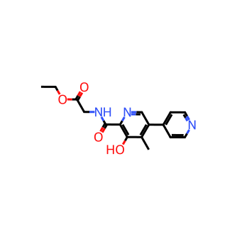 CCOC(=O)CNC(=O)c1ncc(-c2ccncc2)c(C)c1O